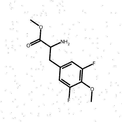 COC(=O)C(N)Cc1cc(F)c(OC)c(F)c1